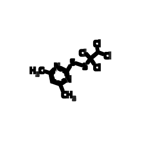 Cc1cc(C)nc(SSC(Cl)(Cl)C(Cl)Cl)n1